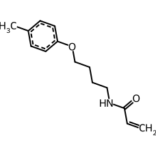 C=CC(=O)NCCCCOc1ccc(C)cc1